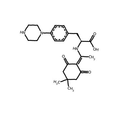 CC(N[C@@H](Cc1ccc(N2CCNCC2)cc1)C(=O)O)=C1C(=O)CC(C)(C)CC1=O